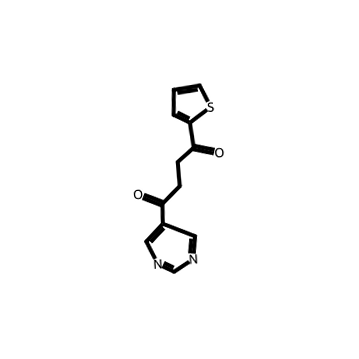 O=C(CCC(=O)c1cccs1)c1cncnc1